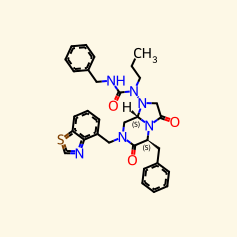 CCCN(C(=O)NCc1ccccc1)N1CC(=O)N2[C@@H](Cc3ccccc3)C(=O)N(Cc3cccc4scnc34)C[C@@H]21